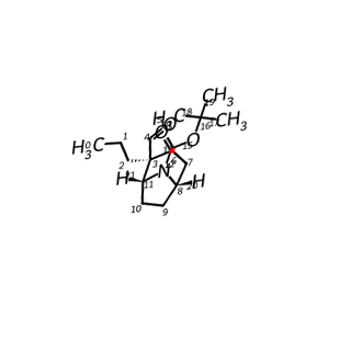 CCC[C@]1(C=O)CC[C@@H]2CC[C@H]1N2C(=O)OC(C)(C)C